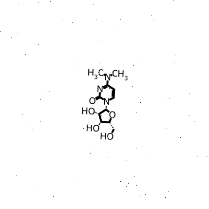 CN(C)c1ccn([C@@H]2O[C@H](CO)[C@H](O)[C@@H]2O)c(=O)n1